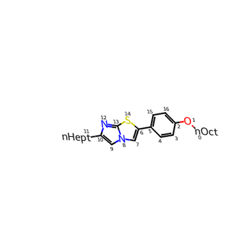 CCCCCCCCOc1ccc(-c2cn3cc(CCCCCCC)nc3s2)cc1